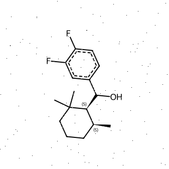 C[C@H]1CCCC(C)(C)[C@H]1C(O)c1ccc(F)c(F)c1